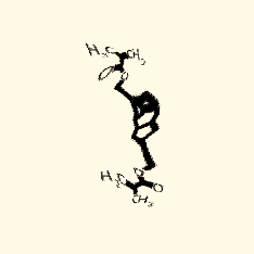 C=C(C)C(=O)OCC1CC2C3CC(COC(=O)C(=C)C)C(C3)C2C1